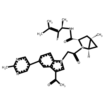 CC(=O)c1cn(CC(=O)N2[C@H](C(=O)N[C@H](C)C(F)=C(C)C)C[C@@]3(C)C[C@@H]23)c2ccc(-c3cnc(C)nc3)cc12